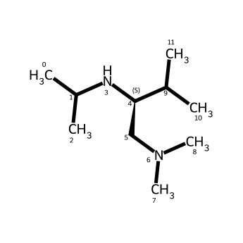 CC(C)N[C@H](CN(C)C)C(C)C